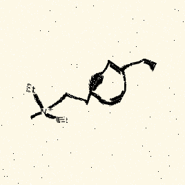 C=Cc1ccc(CC[N+](C)(CC)CC)cc1